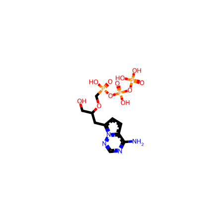 Nc1ncnn2c(CC(CO)OCP(=O)(O)OP(=O)(O)OP(=O)(O)O)ccc12